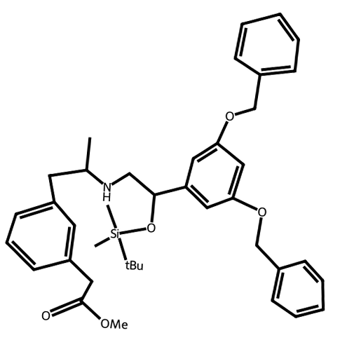 COC(=O)Cc1cccc(CC(C)NCC(O[Si](C)(C)C(C)(C)C)c2cc(OCc3ccccc3)cc(OCc3ccccc3)c2)c1